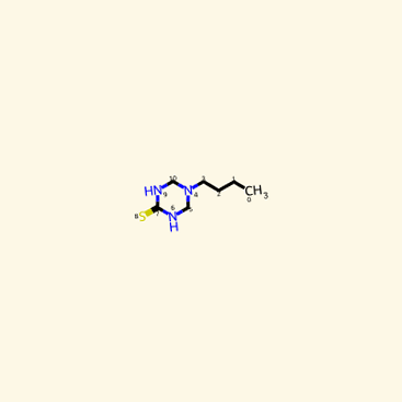 CCCCN1CNC(=S)NC1